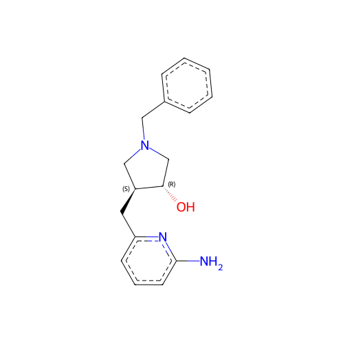 Nc1cccc(C[C@H]2CN(Cc3ccccc3)C[C@@H]2O)n1